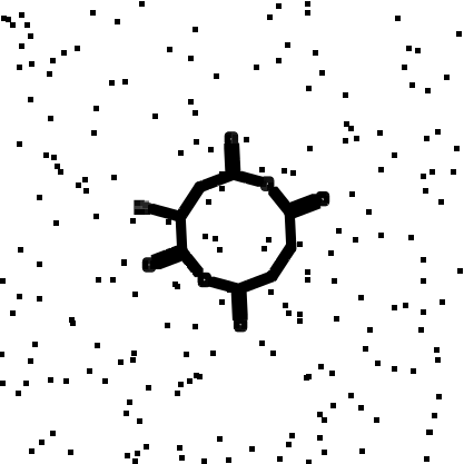 CCC1CC(=O)OC(=O)CCC(=O)OC1=O